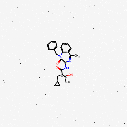 CCCC[C@H](O)[C@@H](CC1CC1)C(=O)NC1N=C(C)c2ccccc2N(Cc2ccccc2)C1=O